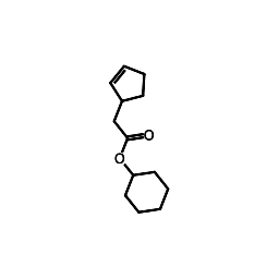 O=C(CC1C=CCC1)OC1CCCCC1